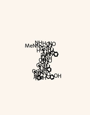 CNC(=N)NCCC[C@H](NC(=O)[C@H](CC(C)C)NC(=O)NNC(=O)[C@H](Cc1ccccc1)NC(=O)[C@@H](NC(=O)[C@H](CNC(N)=O)NC(=O)[C@@H](Cc1ccncc1)NC(=O)[C@@H](Cc1ccc(O)cc1)NC(C)=O)[C@@H](C)O)C(=O)N[C@@H](Cc1c[nH]c2ccccc12)C(N)=O